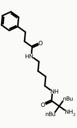 CCCCC(N)(CCCC)C(=O)NCCCCNC(=O)CCc1ccccc1